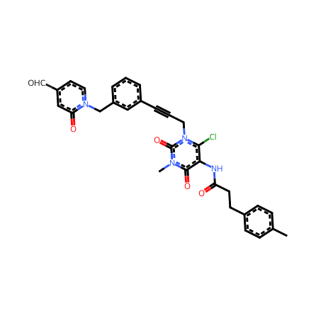 Cc1ccc(CCC(=O)Nc2c(Cl)n(CC#Cc3cccc(Cn4ccc(C=O)cc4=O)c3)c(=O)n(C)c2=O)cc1